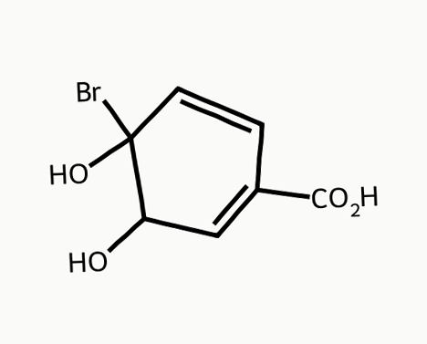 O=C(O)C1=CC(O)C(O)(Br)C=C1